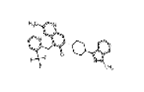 Cc1cnc2cc([C@H]3CC[C@H](c4nn(C)c5ccccc54)CC3)c(=O)n(Cc3ncccc3C(F)(F)F)c2n1